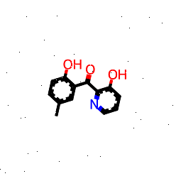 Cc1ccc(O)c(C(=O)c2ncccc2O)c1